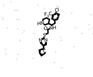 O=C(CSc1ncc(-c2ccccc2)cn1)NC(Cc1ccc(Cl)c(C(F)(F)F)c1)C1CCCNC1